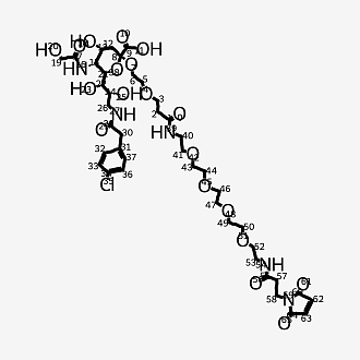 O=C(CCOCCO[C@]1(C(=O)O)C[C@H](O)[C@@H](NC(=O)CO)[C@H]([C@H](O)[C@H](O)CNC(=O)Cc2ccc(Cl)cc2)O1)NCCOCCOCCOCCOCCNC(=O)CCN1C(=O)C=CC1=O